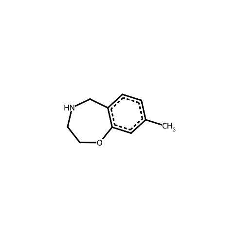 Cc1ccc2c(c1)OCCNC2